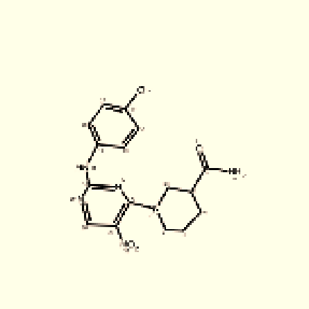 NC(=O)C1CCCN(c2nc(Nc3ccc(Cl)cc3)ncc2[N+](=O)[O-])C1